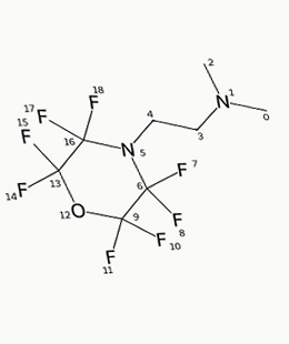 CN(C)CCN1C(F)(F)C(F)(F)OC(F)(F)C1(F)F